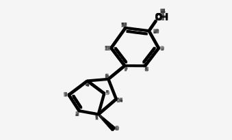 C[C@@]12C=CC(C1)C(c1ccc(O)cc1)C2